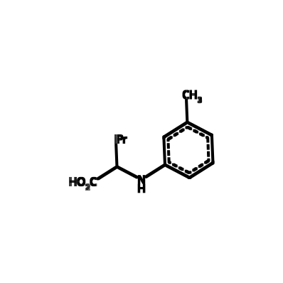 Cc1cccc(NC(C(=O)O)C(C)C)c1